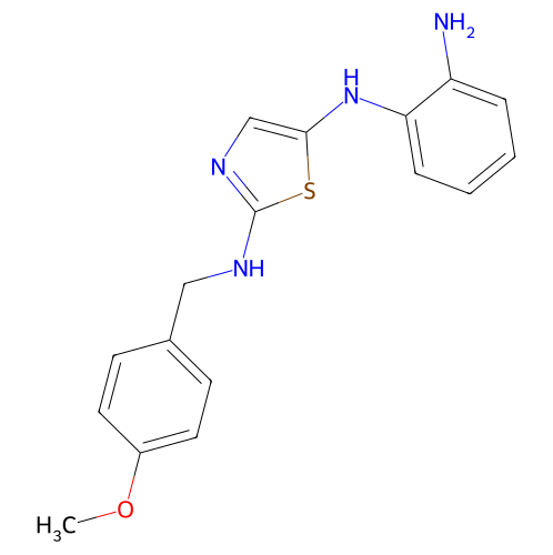 COc1ccc(CNc2ncc(Nc3ccccc3N)s2)cc1